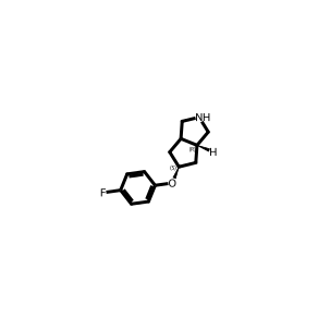 Fc1ccc(O[C@H]2CC3CNC[C@@H]3C2)cc1